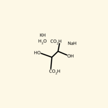 O.O=C(O)C(O)C(O)C(=O)O.[KH].[NaH]